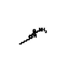 CCCCCCCCc1ccc(CO[PH](=O)CCCN)cc1